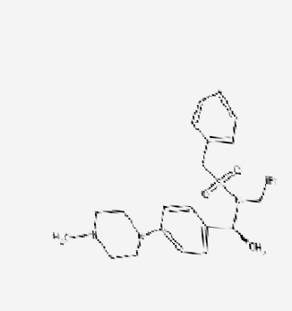 CC(C)CN([C@@H](C)c1ccc(N2CCN(C)CC2)cc1)S(=O)(=O)Cc1ccccc1